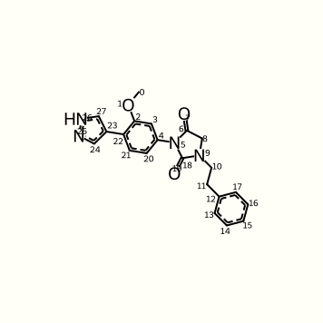 COc1cc(N2C(=O)CN(CCc3ccccc3)C2=O)ccc1-c1cn[nH]c1